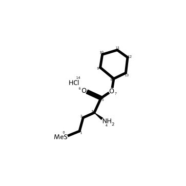 CSCC[C@H](N)C(=O)OC1CCCCC1.Cl